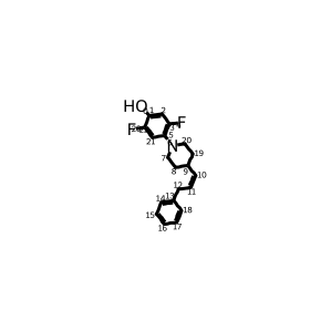 Oc1cc(F)c(N2CCC(/C=C\Cc3ccccc3)CC2)cc1F